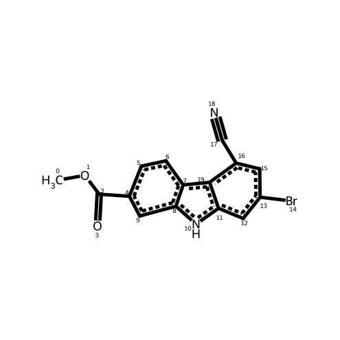 COC(=O)c1ccc2c(c1)[nH]c1cc(Br)cc(C#N)c12